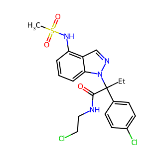 CCC(C(=O)NCCCl)(c1ccc(Cl)cc1)n1ncc2c(NS(C)(=O)=O)cccc21